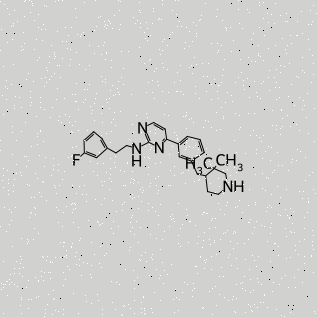 CC1(C)CNCCC1Cc1cccc(-c2ccnc(NCCc3cccc(F)c3)n2)c1